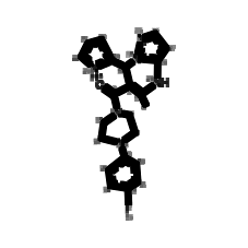 CC1=C(C(=O)N2CCN(c3ccc(F)cc3)CC2)C(c2ccc[nH]2)n2nccc2N1